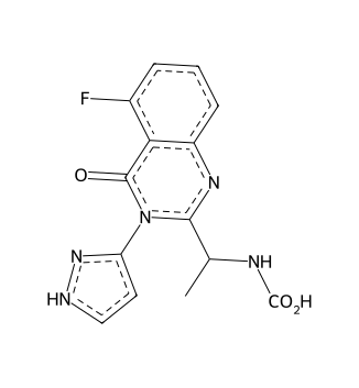 CC(NC(=O)O)c1nc2cccc(F)c2c(=O)n1-c1cc[nH]n1